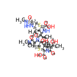 CNC(=O)[C@@H]1C[C@H](SC2=C(C(=O)O)NC([C@H](C(=O)N3C[C@@H](SC4=C(C(=O)O)N5C(=O)[C@H]([C@@H](C)O)[C@H]5[C@H]4C)C[C@H]3C(=O)N(C)C)[C@@H](C)O)[C@H]2C)CN1